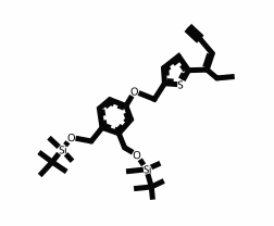 C#C/C=C(/CC)c1ccc(COc2ccc(CO[Si](C)(C)C(C)(C)C)c(CO[Si](C)(C)C(C)(C)C)c2)s1